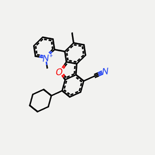 Cc1ccc2c(oc3c(C4CCCCC4)ccc(C#N)c32)c1-c1cccc[n+]1C